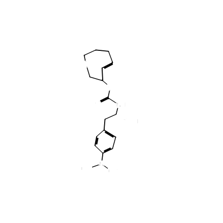 CCCN(CCC)c1ccc(C[C@H](NC(=O)OC2/C=C/CCCCC2)C(=O)O)cc1